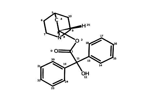 O=C(O[C@H]1CC2CCN1CC2)C(O)(c1ccccc1)c1ccccc1